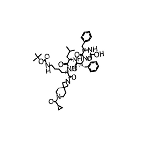 CC(C)C[C@@H](NC(=O)[C@@H](Cc1ccccc1)NC(=O)[C@@H](Cc1ccccc1)NC(=O)O)C(=O)N[C@H](CCCCNC(=O)OC(C)(C)C)C(=O)N1CC2(CCN(C(=O)C3CC3)CC2)C1